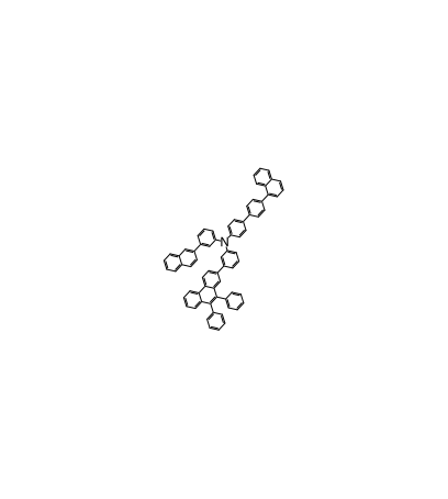 c1ccc(-c2c(-c3ccccc3)c3cc(-c4cccc(N(c5ccc(-c6ccc(-c7cccc8ccccc78)cc6)cc5)c5cccc(-c6ccc7ccccc7c6)c5)c4)ccc3c3ccccc23)cc1